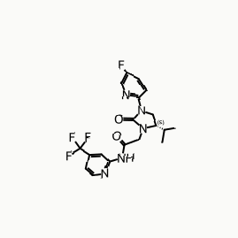 CC(C)[C@H]1CN(c2ccc(F)cn2)C(=O)N1CC(=O)Nc1cc(C(F)(F)F)ccn1